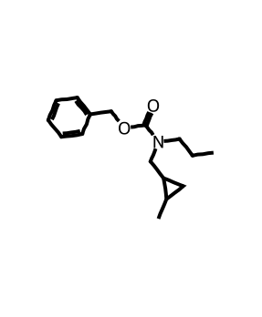 CCCN(CC1CC1C)C(=O)OCc1ccccc1